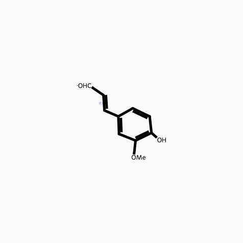 COc1cc(/C=C/[C]=O)ccc1O